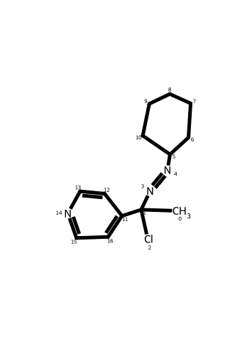 CC(Cl)(N=NC1CCCCC1)c1ccncc1